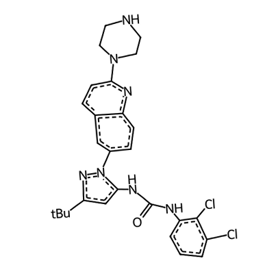 CC(C)(C)c1cc(NC(=O)Nc2cccc(Cl)c2Cl)n(-c2ccc3nc(N4CCNCC4)ccc3c2)n1